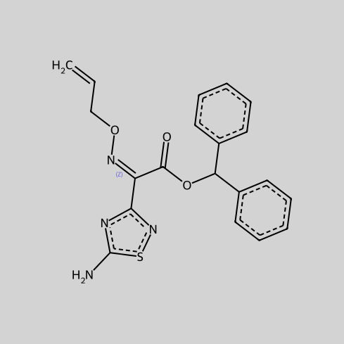 C=CCO/N=C(\C(=O)OC(c1ccccc1)c1ccccc1)c1nsc(N)n1